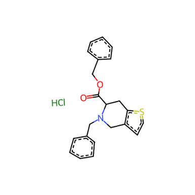 Cl.O=C(OCc1ccccc1)C1Cc2sccc2CN1Cc1ccccc1